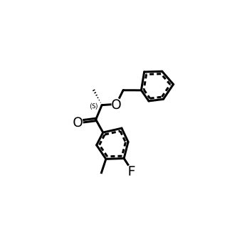 Cc1cc(C(=O)[C@H](C)OCc2ccccc2)ccc1F